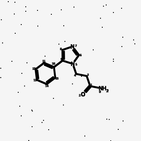 NC(=O)CCn1cncc1-c1ccccc1